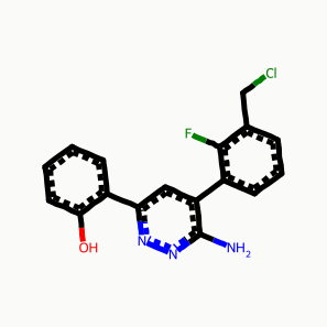 Nc1nnc(-c2ccccc2O)cc1-c1cccc(CCl)c1F